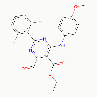 CCOC(=O)c1c(C=O)nc(-c2c(F)cccc2F)nc1Nc1ccc(OC)cc1